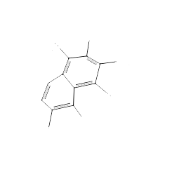 Cc1ccc2c(N)c(C)c(C)c(N)c2c1C